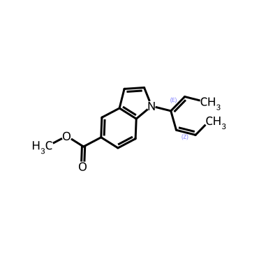 C/C=C\C(=C/C)n1ccc2cc(C(=O)OC)ccc21